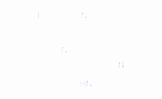 CCc1nc(C)c2nc[nH]c2n1